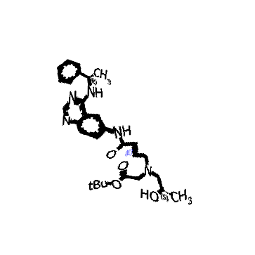 C[C@H](O)CN(C/C=C/C(=O)Nc1ccc2ncnc(N[C@H](C)c3ccccc3)c2c1)CC(=O)OC(C)(C)C